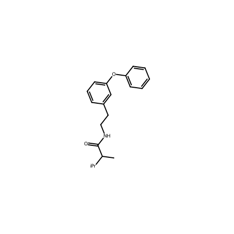 CC(C)C(C)C(=O)NCCc1cccc(Oc2ccccc2)c1